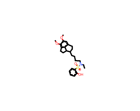 CCN(CCCCC1CCc2cc(OC)c(OC)c3c2C1CC3)S(=O)(=O)c1ccccc1O